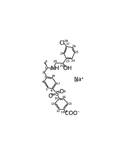 C[C@H](Cc1ccc(S(=O)(=O)c2ccc(C(=O)[O-])cc2)cc1)NC[C@H](O)c1cccc(Cl)c1.[Na+]